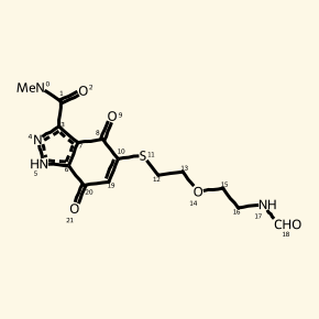 CNC(=O)c1n[nH]c2c1C(=O)C(SCCOCCNC=O)=CC2=O